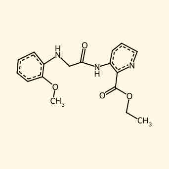 CCOC(=O)c1ncccc1NC(=O)CNc1ccccc1OC